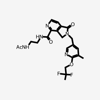 CC(=O)NCCNC(=O)c1nccc2c1CN(Cc1cnc(OCC(C)(F)F)c(C)c1)C2=O